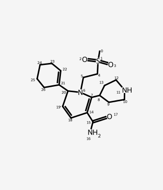 CS(=O)(=O)CCN1C(C2CCNCC2)=C(C(N)=O)C=[C]C1C1=CCCCC1